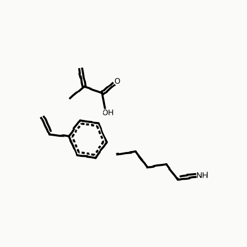 C=C(C)C(=O)O.C=Cc1ccccc1.CCCCC=N